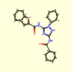 O=C(Nc1nc(NC(=O)c2cc3ccccc3s2)n(-c2ccccc2)n1)c1ccccc1